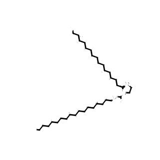 CCCCCCCCCCCCCCCCCCOC(C)N1CCN=C1CCCCCCCCCCCCCCCC